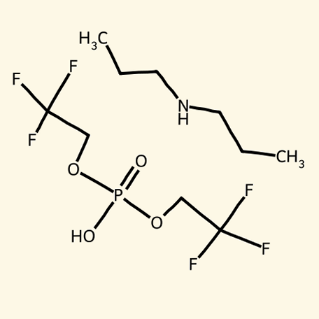 CCCNCCC.O=P(O)(OCC(F)(F)F)OCC(F)(F)F